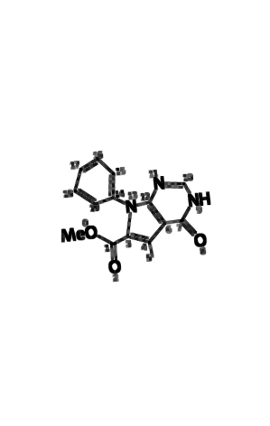 COC(=O)c1c(C)c2c(=O)[nH]cnc2n1-c1ccccc1